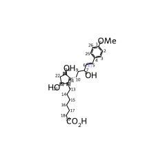 COc1ccc(/C=C/C(O)CC[C@@H]2[C@@H](CCCCCCC(=O)O)[C@@H](O)C[C@H]2O)cc1